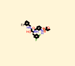 CCc1cccc(CNC[C@@H](O)[C@H](Cc2cc(F)cc(F)c2)NC(=O)c2cccc(NS(=O)(=O)c3ccoc3)c2)c1